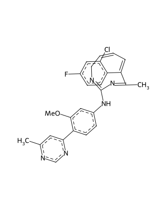 COc1cc(NC2=N\C\C=C/C=C(c3ccc(F)cc3Cl)/C(C)=N/2)ccc1-c1cc(C)ncn1